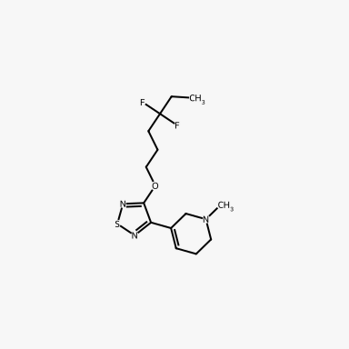 CCC(F)(F)CCCOc1nsnc1C1=CCCN(C)C1